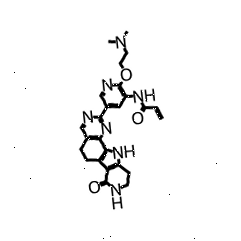 C=CC(=O)Nc1cc(-c2ncc3c(n2)-c2[nH]c4c(c2CC3)C(=O)NCC4)cnc1OCCN(C)C